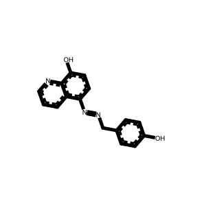 Oc1ccc(CN=Nc2ccc(O)c3ncccc23)cc1